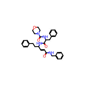 O=C(C=CC(CCc1ccccc1)NC(=O)C(Cc1ccccc1)NC(=O)N1CCOCC1)NCc1ccccc1